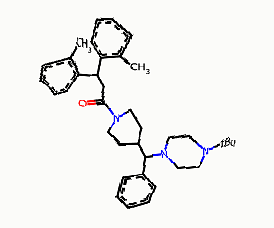 Cc1ccccc1C(CC(=O)N1CCC(C(c2ccccc2)N2CCN(C(C)(C)C)CC2)CC1)c1ccccc1C